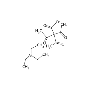 CC(=O)C(C(C)=O)(C(C)=O)[C](=O)[Cr].C[CH2][Al]([CH2]C)[CH2]C